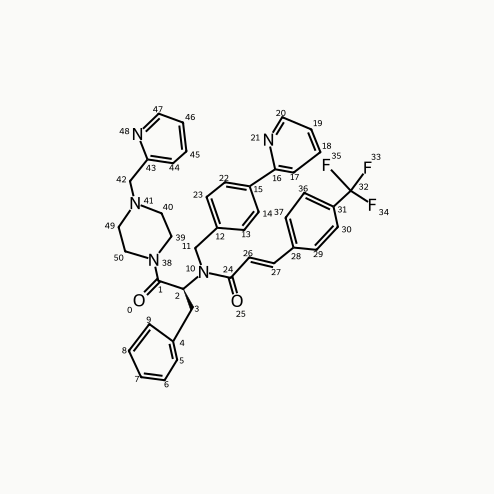 O=C([C@H](Cc1ccccc1)N(Cc1ccc(-c2ccccn2)cc1)C(=O)C=Cc1ccc(C(F)(F)F)cc1)N1CCN(Cc2ccccn2)CC1